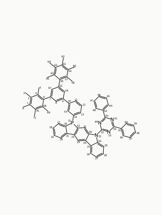 Cc1c(C)c(C)c(-c2cc(-c3cccc(-p4c5ccccc5c5cc6c7ccccc7n(-c7nc(-c8ccccc8)nc(-c8ccccc8)n7)c6cc54)c3)cc(-c3c(C)c(C)c(C)c(C)c3C)c2)c(C)c1C